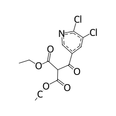 CCOC(=O)C(C(=O)OCC)C(=O)c1cnc(Cl)c(Cl)c1